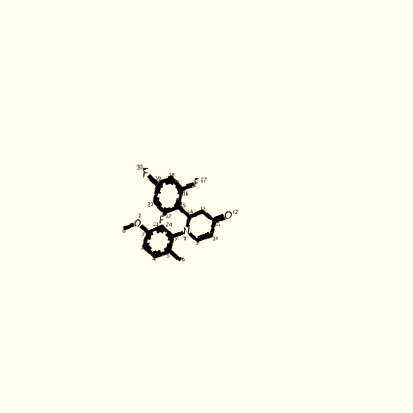 COc1ccc(C)c(N2C=CC(=O)CC2c2c(F)cc(F)cc2F)c1